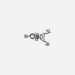 C[Si](C)(C)CCOCN(COCC[Si](C)(C)C)S(=O)(=O)c1ccc(Br)cn1